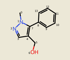 Cn1ncc(CO)c1-c1ccccc1